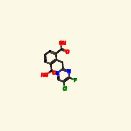 O=C(O)c1cccc(C(=O)O)c1Cc1ncc(Cl)c(F)n1